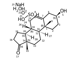 C[C@]12CC[C@H](O)CC1=CC[C@@H]1[C@@H]2CC[C@]2(C)C(=O)CC[C@@H]12.O.O.O=S(=O)(O)O.[NaH]